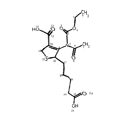 CCOC(=O)N(C(C)=O)C1=C(C(=O)O)CSC1CCCCC(=O)O